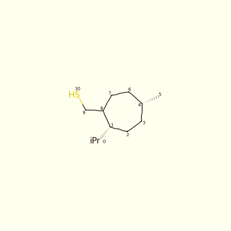 CC(C)[C@H]1CC[C@@H](C)CCC1CS